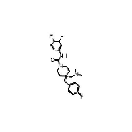 CN(C)CC1(Cc2ccc(F)cc2)CCN(C(=O)NC2=CC(F)C(F)C=C2)CC1